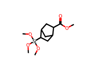 COC(=O)C1CC2CC1CC2[Si](OC)(OC)OC